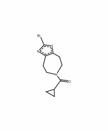 O=C(C1CC1)N1CCc2nc(Br)sc2CC1